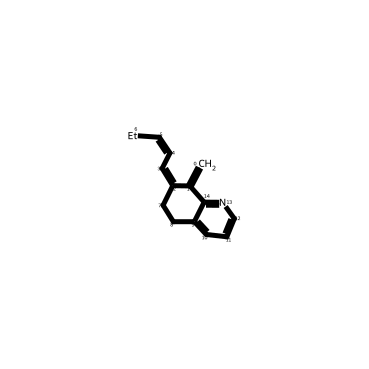 C=C1/C(=C\C=C/CC)CCc2cccnc21